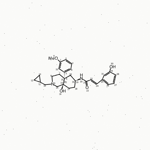 COc1cccc([C@@]23CCN(CC4CC4)C[C@@]2(O)CC[C@H](NC(=O)C=Cc2cccc(O)c2)C3)c1